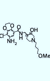 COCCCCN1CC[C@@H](CNC(=O)c2cc(N)c(Cl)c3c2OCCO3)[C@H](O)C1